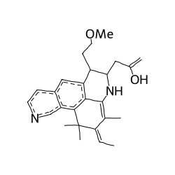 C=C(O)CC1NC2=C(C)/C(=C\C)C(C)(C)c3c2c(cc2ccncc32)C1CCOC